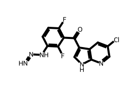 N=NNc1ccc(F)c(C(=O)c2c[nH]c3ncc(Cl)cc23)c1F